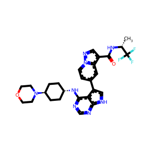 C[C@@H](NC(=O)c1cnn2ccc(-c3c[nH]c4ncnc(N[C@H]5CC[C@H](N6CCOCC6)CC5)c34)cc12)C(F)(F)F